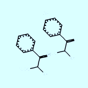 CCC(C(=O)[O-])C(=O)c1ccccc1.CCC(C(=O)[O-])C(=O)c1ccccc1.[Zr+2]